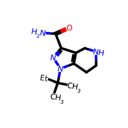 CCC(C)(C)n1nc(C(N)=O)c2c1CCNC2